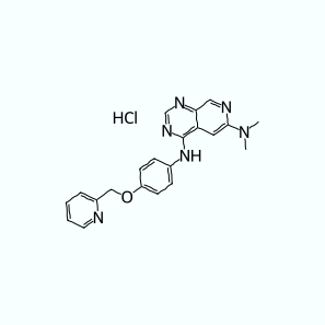 CN(C)c1cc2c(Nc3ccc(OCc4ccccn4)cc3)ncnc2cn1.Cl